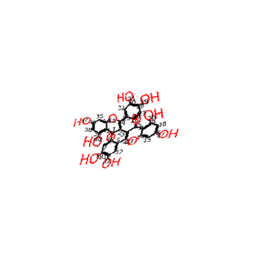 O=c1c(-c2c(-c3ccc(O)c(O)c3)oc3cc(O)cc(O)c3c2=O)c(-c2ccc(O)c(O)c2)oc2cc(O)cc(O)c12